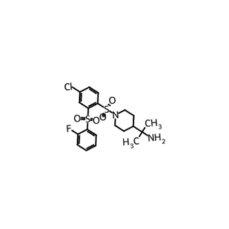 CC(C)(N)C1CCN(S(=O)(=O)c2ccc(Cl)cc2S(=O)(=O)c2ccccc2F)CC1